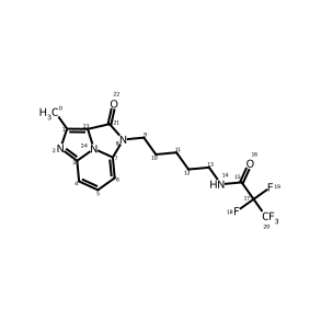 Cc1nc2cccc3n(CCCCCNC(=O)C(F)(F)C(F)(F)F)c(=O)c1n23